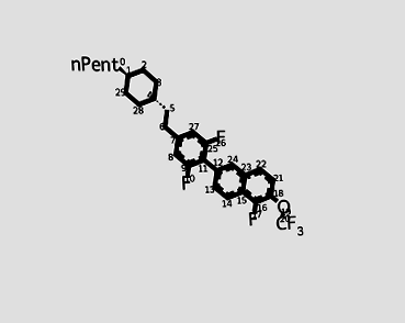 CCCCC[C@H]1CC[C@H](CCc2cc(F)c(-c3ccc4c(F)c(OC(F)(F)F)ccc4c3)c(F)c2)CC1